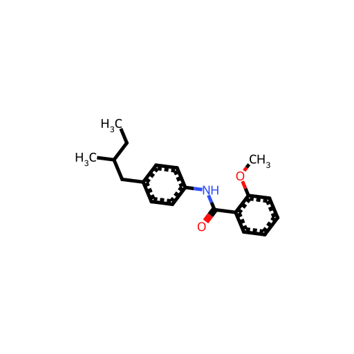 CCC(C)Cc1ccc(NC(=O)c2ccccc2OC)cc1